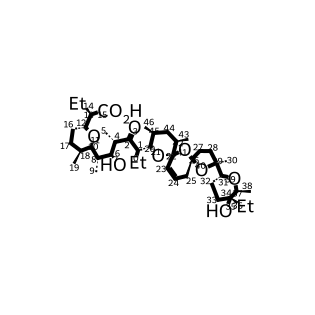 CCC(C(=O)[C@@H](C)[C@@H](O)[C@H](C)[C@@H]1O[C@@H]([C@@H](CC)C(=O)O)CC[C@@H]1C)[C@H]1O[C@]2(C=CC[C@]3(CC[C@@](C)([C@H]4CC[C@](O)(CC)[C@H](C)O4)O3)O2)[C@H](C)C[C@@H]1C